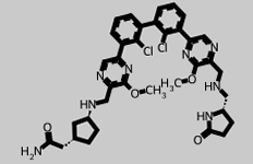 COc1nc(-c2cccc(-c3cccc(-c4cnc(CN[C@@H]5CC[C@H](CC(N)=O)C5)c(OC)n4)c3Cl)c2Cl)cnc1CNC[C@@H]1CCC(=O)N1